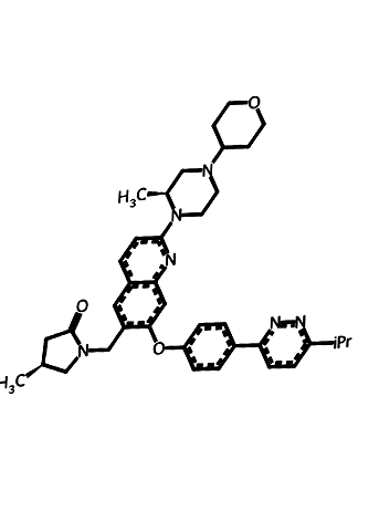 CC(C)c1ccc(-c2ccc(Oc3cc4nc(N5CCN(C6CCOCC6)C[C@@H]5C)ccc4cc3CN3C[C@@H](C)CC3=O)cc2)nn1